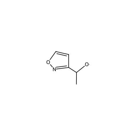 CC([O])c1ccon1